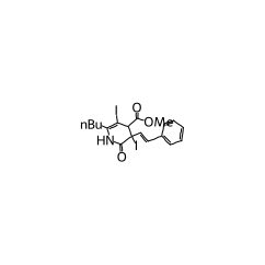 CCCCC1=C(I)C(C(=O)OC)C(I)(/C=C/c2ccccc2)C(=O)N1